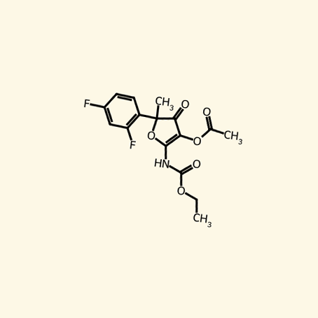 CCOC(=O)NC1=C(OC(C)=O)C(=O)C(C)(c2ccc(F)cc2F)O1